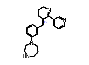 C(=C1/CCCN=C1c1cccnc1)/c1cccc(N2CCCNCC2)c1